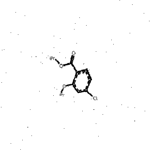 CC(C)OC(=O)c1ccc(Cl)cc1OC(C)C